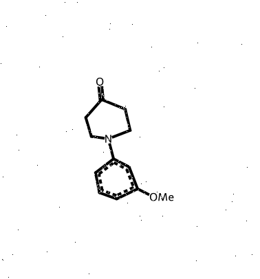 COc1cccc(N2CCC(=O)CC2)c1